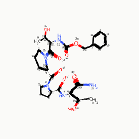 C[C@@H](O)[C@H](NC(=O)[C@@H]1CCCN1C(=O)[C@@H]1CCCN1C(=O)[C@@H](NC(=O)OCc1ccccc1)[C@@H](C)O)C(N)=O